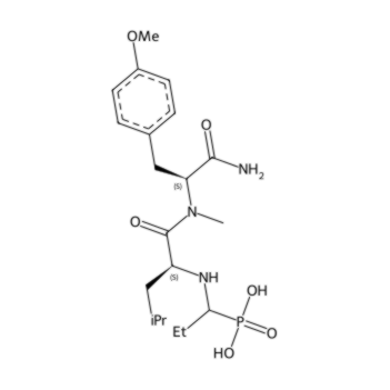 CCC(N[C@@H](CC(C)C)C(=O)N(C)[C@@H](Cc1ccc(OC)cc1)C(N)=O)P(=O)(O)O